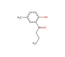 CCCC(=O)c1cc(C)ccc1O